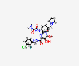 CN(C)C(=O)C(=O)NC12CCC(CN3CCCC3)(CC1)Cn1c2nc(C(=O)NCc2cccc(Cl)c2F)c(O)c1=O